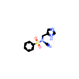 N#CN(Cc1cnc[nH]1)S(=O)(=O)c1ccccc1